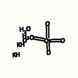 O.O.[KH].[KH].[O]=[Os](=[O])(=[O])=[O]